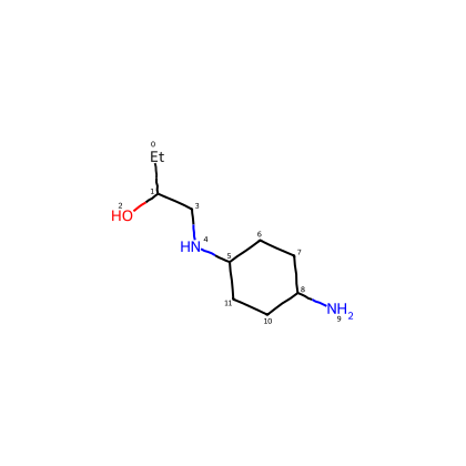 CCC(O)CNC1CCC(N)CC1